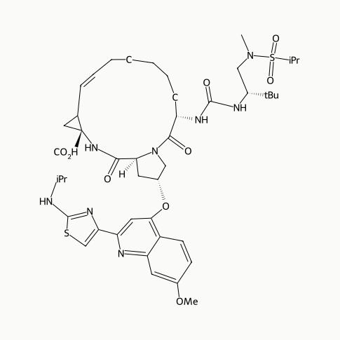 COc1ccc2c(O[C@@H]3C[C@H]4C(=O)N[C@]5(C(=O)O)CC5/C=C\CCCCC[C@H](NC(=O)N[C@H](CN(C)S(=O)(=O)C(C)C)C(C)(C)C)C(=O)N4C3)cc(-c3csc(NC(C)C)n3)nc2c1